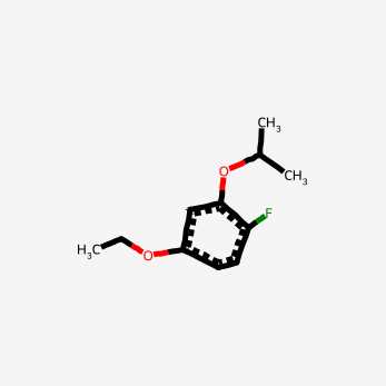 CCOc1[c]c(OC(C)C)c(F)cc1